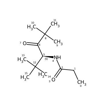 CCC(=O)N[C@H](C(=O)C(C)(C)C)C(C)(C)C